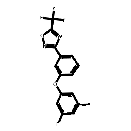 Cc1cc(F)cc(Oc2[c]ccc(-c3noc(C(F)(F)F)n3)c2)c1